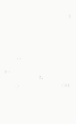 O=C(O)c1cn(C(CO)c2ccccc2)c2ccc(Cc3cccc(Cl)c3F)cc2c1=O